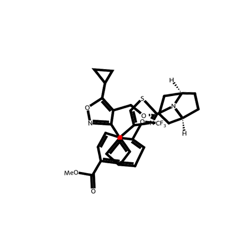 COC(=O)c1ccc(-c2csc(N3[C@@H]4CC[C@H]3C[C@H](OCc3c(-c5ccccc5OC(F)(F)F)noc3C3CC3)C4)n2)cc1